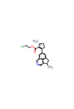 CC1Cc2cc(C3=C(C(=O)OCCCl)[C@H](C)CC3)cc3cncc1c23